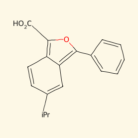 CC(C)c1ccc2c(C(=O)O)oc(-c3ccccc3)c2c1